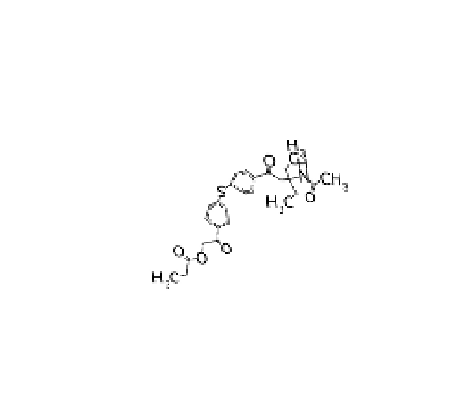 CCC(=O)OCC(=O)c1ccc(Sc2ccc(C(=O)CC(CC)(CC)NC(C)=O)cc2)cc1